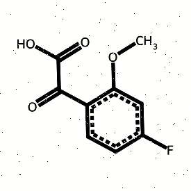 COc1cc(F)ccc1C(=O)C(=O)O